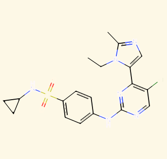 CCn1c(-c2nc(Nc3ccc(S(=O)(=O)NC4CC4)cc3)ncc2Cl)cnc1C